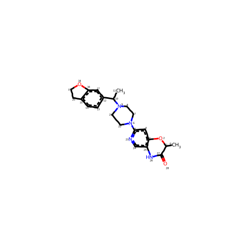 CC1Oc2cc(N3CCN(C(C)c4ccc5c(c4)OCC5)CC3)ncc2NC1=O